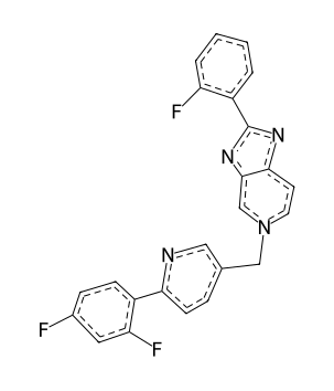 Fc1ccc(-c2ccc(Cn3ccc4nc(-c5ccccc5F)nc-4c3)cn2)c(F)c1